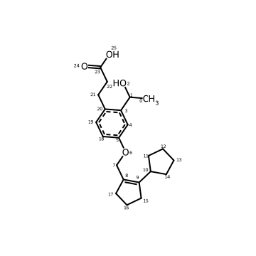 CC(O)c1cc(OCC2=C(C3CCCC3)CCC2)ccc1CCC(=O)O